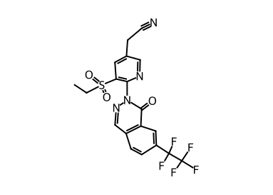 CCS(=O)(=O)c1cc(CC#N)cnc1-n1ncc2ccc(C(F)(F)C(F)(F)F)cc2c1=O